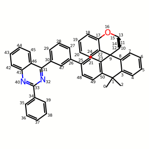 CC1(C)c2ccccc2C2(c3ccccc3Oc3ccccc32)c2cc(-c3cccc(-c4nc(-c5ccccc5)nc5ccccc45)c3)ccc21